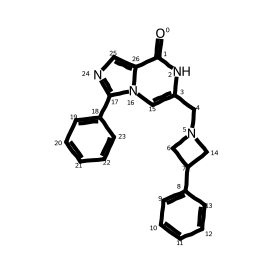 O=c1[nH]c(CN2CC(c3ccccc3)C2)cn2c(-c3ccccc3)ncc12